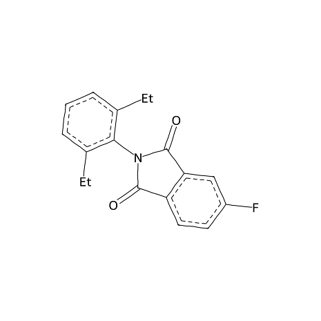 CCc1cccc(CC)c1N1C(=O)c2ccc(F)cc2C1=O